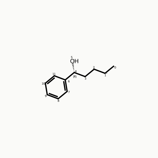 C[CH]CC[C@@H](O)c1ccccc1